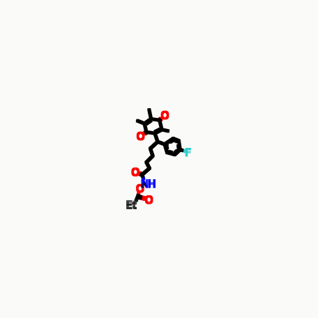 CCC(=O)ONC(=O)CCCCC(C1=C(C)C(=O)C(C)=C(C)C1=O)c1ccc(F)cc1